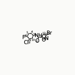 O=C(Nc1ccc(F)c(Cl)c1)c1cc(Br)no1